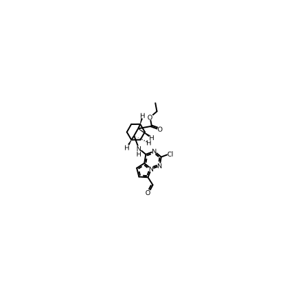 CCOC(=O)[C@H]1[C@H]2CC[C@H](CC2)[C@@H]1Nc1nc(Cl)nn2c(C=O)ccc12